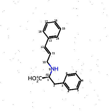 O=C(O)[C@H](Cc1ccccc1)NCC=Cc1ccccc1